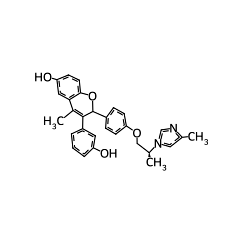 CC1=C(c2cccc(O)c2)C(c2ccc(OC[C@H](C)n3cnc(C)c3)cc2)Oc2ccc(O)cc21